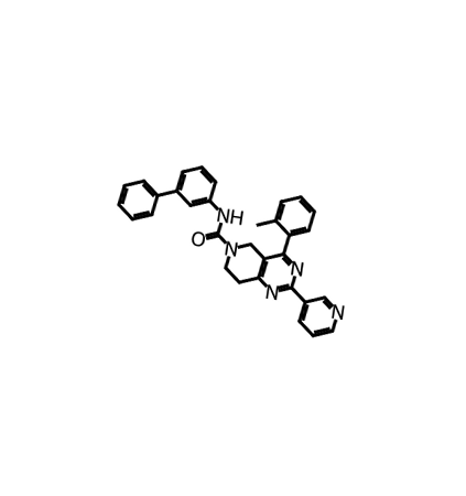 Cc1ccccc1-c1nc(-c2cccnc2)nc2c1CN(C(=O)Nc1cccc(-c3ccccc3)c1)CC2